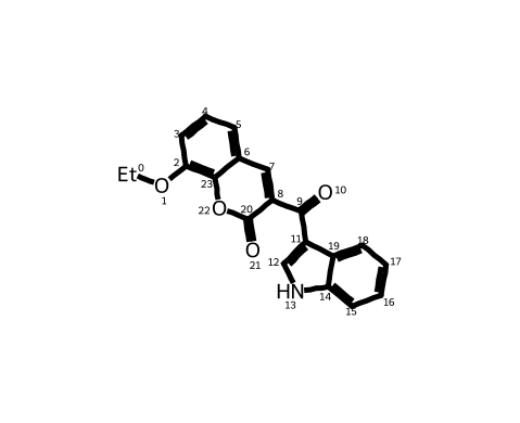 CCOc1cccc2cc(C(=O)c3c[nH]c4ccccc34)c(=O)oc12